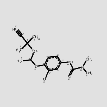 C#CC(C)(C)OC(C)Oc1ccc(NC(=O)N(C)C)cc1Cl